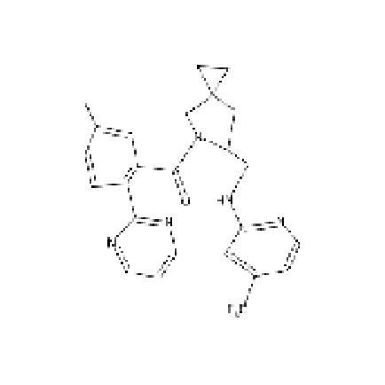 Cc1ccc(-c2ncccn2)c(C(=O)N2CC3(CC3)CC2CNc2cc(C(F)(F)F)ccn2)c1